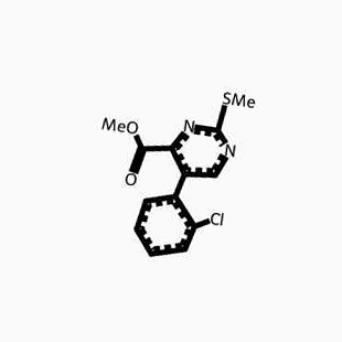 COC(=O)c1nc(SC)ncc1-c1ccccc1Cl